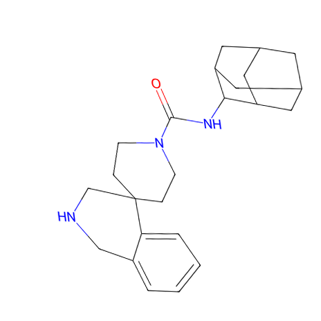 O=C(NC1C2CC3CC(C2)CC1C3)N1CCC2(CC1)CNCc1ccccc12